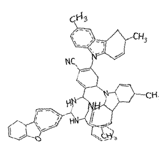 CC1=CC2C3CC(C)C=CC3N(C3CC(n4c5c(c6cc(C)ccc64)CC(C)C=C5)=C(C#N)C=C3C3NC(c4ccc5c(c4)OC4=CC=CCC45)NC(C4C=CCCC4)N3)C2C=C1